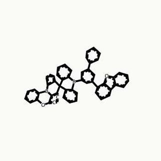 c1ccc(-c2cc(B3c4ccccc4C4(c5ccccc53)c3ccccc3B3c5ccccc5Oc5cccc4c53)cc(-c3cccc4c3oc3ccccc34)c2)cc1